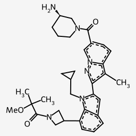 COC(C)(C)C(=O)N1CC(c2cccc3cc(-c4nn5cc(C(=O)N6CCC[C@@H](N)C6)ccc5c4C)n(CC4CC4)c23)C1